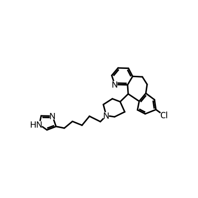 Clc1ccc2c(c1)CCc1cccnc1C2C1CCN(CCCCCc2c[nH]cn2)CC1